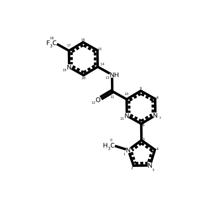 Cn1cncc1-c1nccc(C(=O)Nc2ccc(C(F)(F)F)nc2)n1